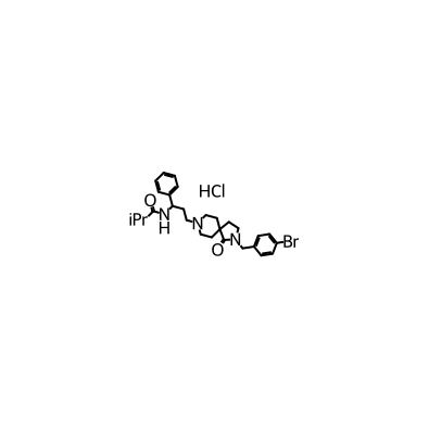 CC(C)C(=O)NC(CCN1CCC2(CC1)CCN(Cc1ccc(Br)cc1)C2=O)c1ccccc1.Cl